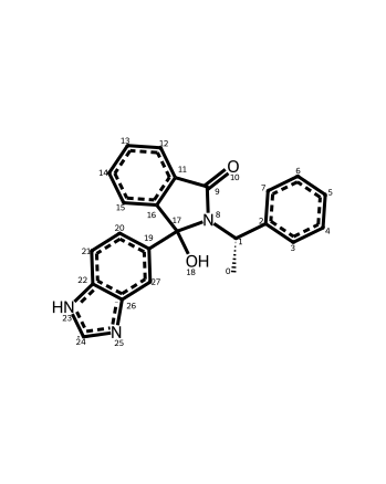 C[C@@H](c1ccccc1)N1C(=O)c2ccccc2C1(O)c1ccc2[nH][c]nc2c1